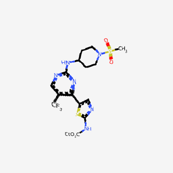 CCOC(=O)Nc1ncc(-c2nc(NC3CCN(S(C)(=O)=O)CC3)ncc2C(F)(F)F)s1